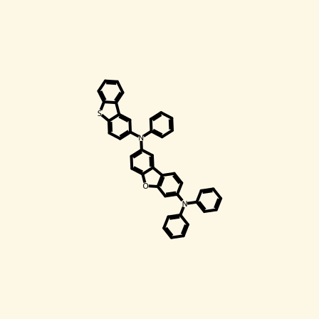 c1ccc(N(c2ccccc2)c2ccc3c(c2)oc2ccc(N(c4ccccc4)c4ccc5sc6ccccc6c5c4)cc23)cc1